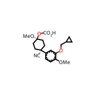 COc1ccc([C@]2(C#N)CC[C@](OC)(OC(=O)O)CC2)cc1OCC1CC1